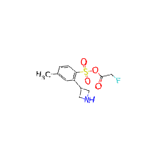 Cc1ccc(S(=O)(=O)OC(=O)CF)c(C2CNC2)c1